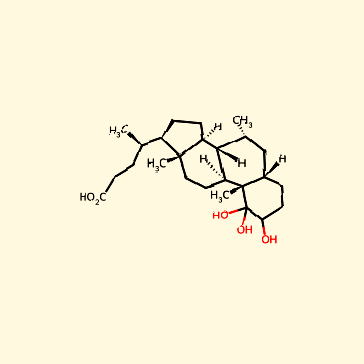 C[C@@H]1C[C@@H]2CCC(O)C(O)(O)[C@]2(C)[C@H]2CC[C@]3(C)[C@@H]([C@H](C)CCC(=O)O)CC[C@H]3[C@H]12